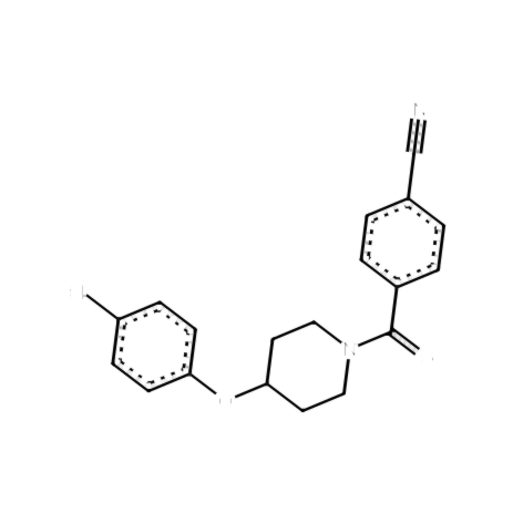 N#Cc1ccc(C(=O)N2CCC(Oc3ccc(Cl)cc3)CC2)cc1